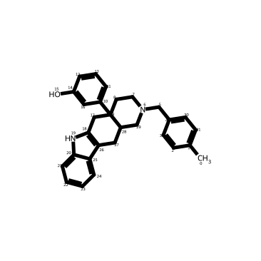 Cc1ccc(CN2CCC3(c4cccc(O)c4)Cc4[nH]c5ccccc5c4CC3C2)cc1